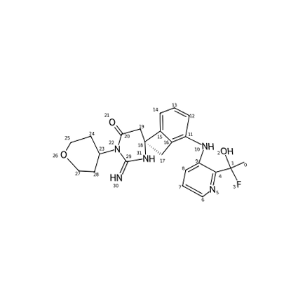 CC(O)(F)c1ncccc1Nc1cccc2c1C[C@]21CC(=O)N(C2CCOCC2)C(=N)N1